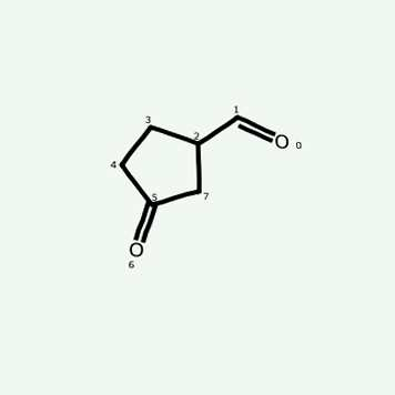 O=CC1CCC(=O)C1